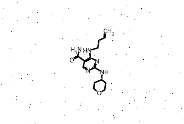 C=CCCNc1nc(NC2CCOCC2)ncc1C(N)=O